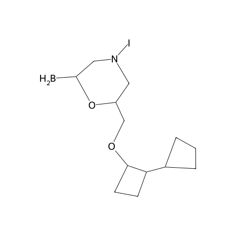 BC1CN(I)CC(COC2CCC2C2CCC2)O1